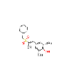 CC(C)(C)c1cc(C=C(C#N)S(=O)(=O)CC2CCCCC2)cc(C(C)(C)C)c1O